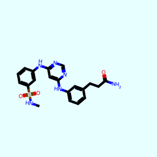 CNS(=O)(=O)c1cccc(Nc2cc(Nc3cccc(CCC(N)=O)c3)ncn2)c1